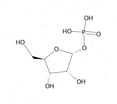 O=P(O)(O)O[C@H]1O[C@H](CO)[C@@H](O)[C@H]1O